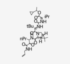 C=CCNC(=O)C(=O)C(CCC)NC(=O)[C@@H]1[C@@H]2[C@H](CN1C(=O)[C@@H](NC(=O)N[C@H](C(=O)OC(C)C1CC1)C(C)C)C(C)(C)C)C2(C)C